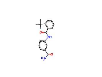 CC(C)(C)c1ccccc1C(=O)Nc1cccc(C(N)=O)c1